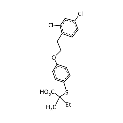 CCC(C)(Sc1ccc(OCCc2ccc(Cl)cc2Cl)cc1)C(=O)O